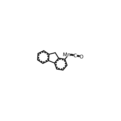 O=[C]=[Mn][c]1cccc2c1Cc1ccccc1-2